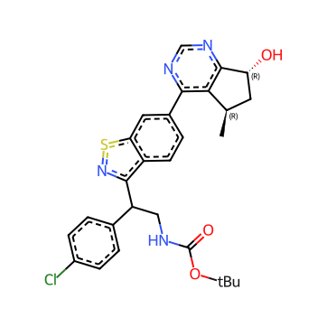 C[C@@H]1C[C@@H](O)c2ncnc(-c3ccc4c(C(CNC(=O)OC(C)(C)C)c5ccc(Cl)cc5)nsc4c3)c21